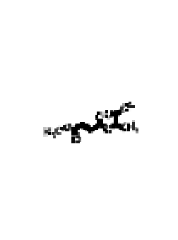 COC(=O)C=CC(=O)OC(C)C(=O)O